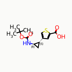 CC(C)(C)OC(=O)N[C@@H]1C[C@H]1c1csc(C(=O)O)c1